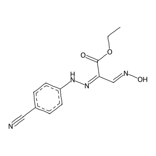 CCOC(=O)C(C=NO)=NNc1ccc(C#N)cc1